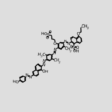 CCCOc1cccc2c(S(=O)(=O)O)c(N=Nc3cc(OCCCS(=O)(=O)O)c(N=Nc4cc(C)c(N=Nc5ccc6cc(N=Nc7ccc(O)cc7)ccc6c5O)cc4C)cc3C)ccc12